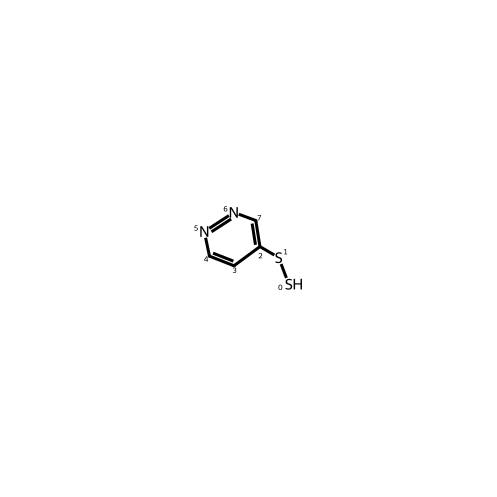 SSc1ccnnc1